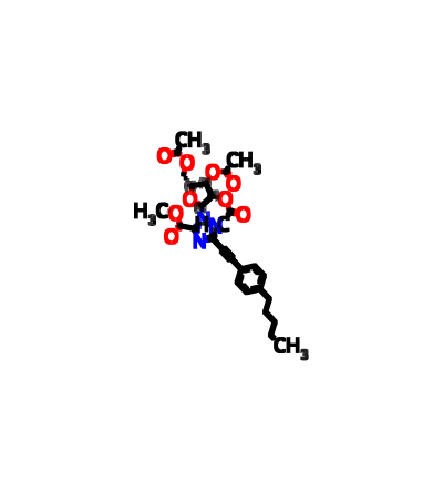 CCCCCc1ccc(C#Cc2nc(C(=O)OC)n([C@@H]3O[C@H](COC(C)=O)[C@@H](OC(C)=O)[C@H]3OC(C)=O)n2)cc1